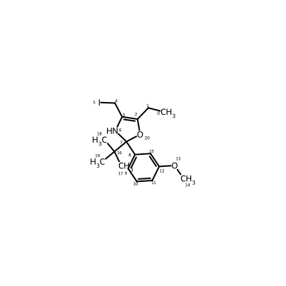 CCC1=C(CI)NC(c2cccc(OC)c2)(C(C)(C)C)O1